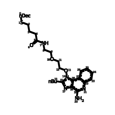 CCCCCCCCCCSCCCC(=O)NCCOCCOn1c(CCCC)nc2c(N)nc3ccccc3c21